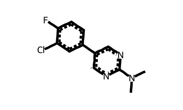 CN(C)c1n[c]c(-c2ccc(F)c(Cl)c2)cn1